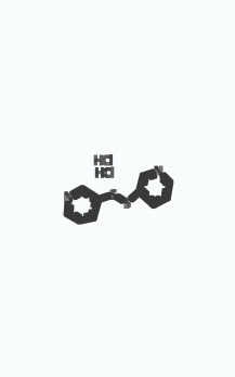 Cl.Cl.c1cncc(SSc2cccnc2)c1